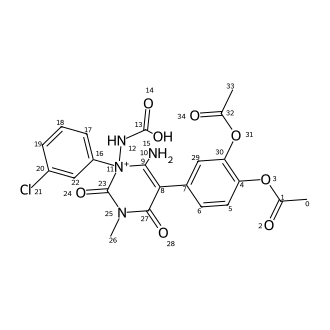 CC(=O)Oc1ccc(C2=C(N)[N+](NC(=O)O)(c3cccc(Cl)c3)C(=O)N(C)C2=O)cc1OC(C)=O